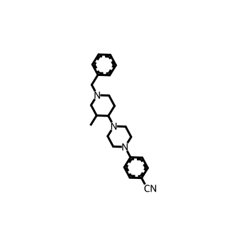 CC1CN(Cc2ccccc2)CCC1N1CCN(c2ccc(C#N)cc2)CC1